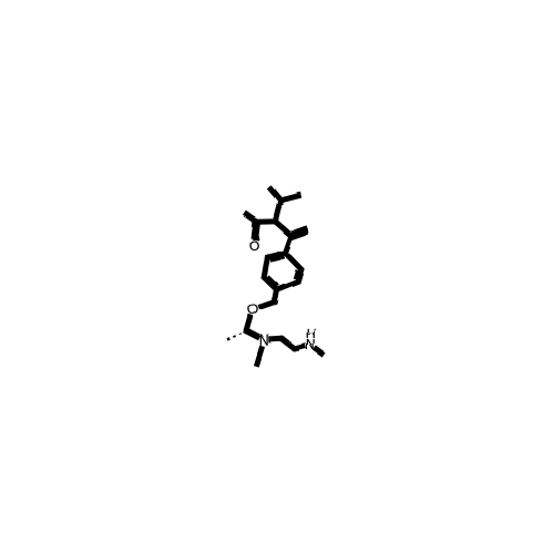 C=C(c1ccc(CO[C@@H](C)N(C)CCNC)cc1)C(C(C)=O)C(C)C